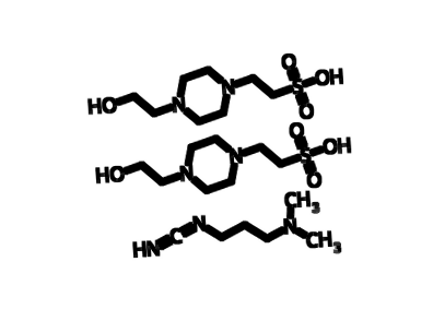 CN(C)CCCN=C=N.O=S(=O)(O)CCN1CCN(CCO)CC1.O=S(=O)(O)CCN1CCN(CCO)CC1